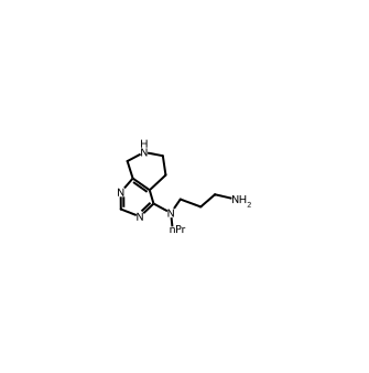 CCCN(CCCN)c1ncnc2c1CCNC2